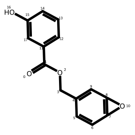 O=C(OCc1ccc2c(c1)O2)c1cccc(O)c1